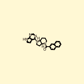 O=C(c1ccc2ccccc2c1)N1CCC[C@@H]2[C@H]1CCN2c1ncnc2[nH]ccc12